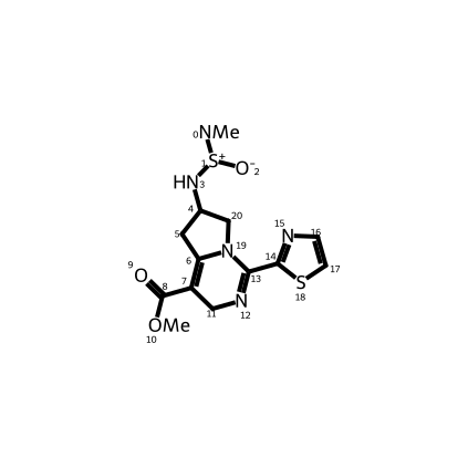 CN[S+]([O-])NC1CC2=C(C(=O)OC)CN=C(c3nccs3)N2C1